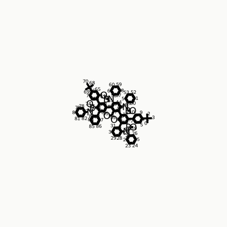 CC(C)(C)c1cc2c3c(c1)OB1c4c5c(c6c(c4-3)B(O2)N(c2ccccc2)c2ccccc2-6)OC2Oc3c4c6c7c8c3-c3c(cc(c-5c32)N1c1ccccc1)N(c1ccccc1)B8Oc1cc(C(C)(C)C)cc(c1-7)OB6N(c1ccccc1)c1ccccc1-4